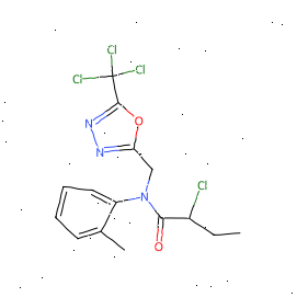 CCC(Cl)C(=O)N(Cc1nnc(C(Cl)(Cl)Cl)o1)c1ccccc1C